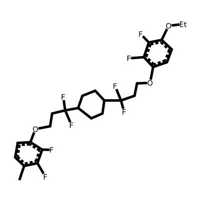 CCOc1ccc(OCCC(F)(F)C2CCC(C(F)(F)CCOc3ccc(C)c(F)c3F)CC2)c(F)c1F